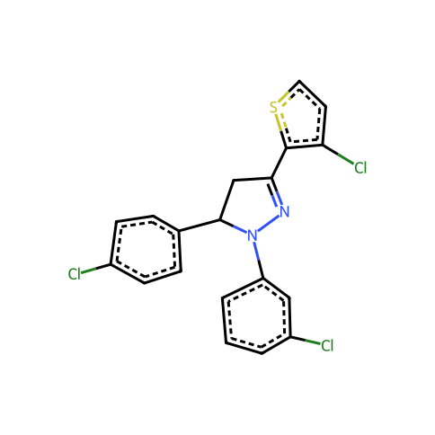 Clc1ccc(C2CC(c3sccc3Cl)=NN2c2cccc(Cl)c2)cc1